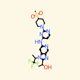 CC(O)c1nc2cnc(Nc3ccnc(N4CCC(S(C)(=O)=O)CC4)n3)cc2n1C(C)C(F)(F)F